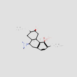 CCC[C@@]12CC(=O)C(OC)CC1C(N(C)C)Cc1ccc(OC)c(O)c12